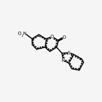 O=c1oc2cc([N+](=O)[O-])ccc2cc1-c1nc2ccccc2s1